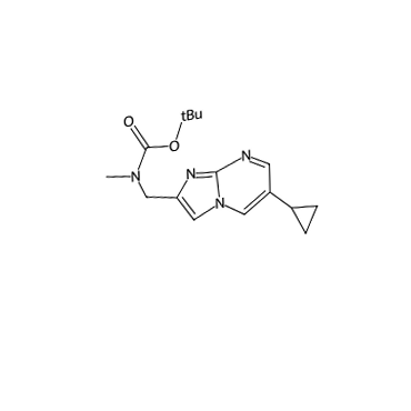 CN(Cc1cn2cc(C3CC3)cnc2n1)C(=O)OC(C)(C)C